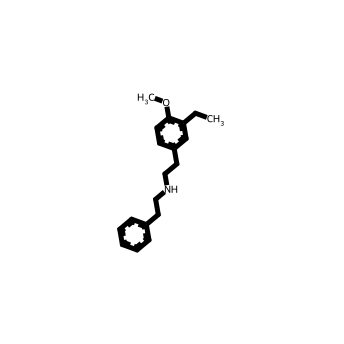 CCc1cc(CCNCCc2ccccc2)ccc1OC